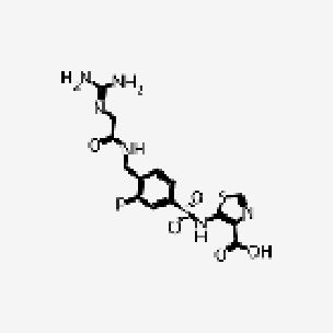 NC(N)=NCC(=O)NCc1ccc(S(=O)(=O)Nc2scnc2C(=O)O)cc1F